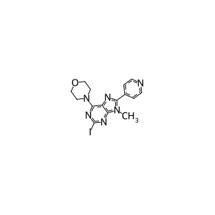 Cn1c(-c2ccncc2)nc2c(N3CCOCC3)nc(I)nc21